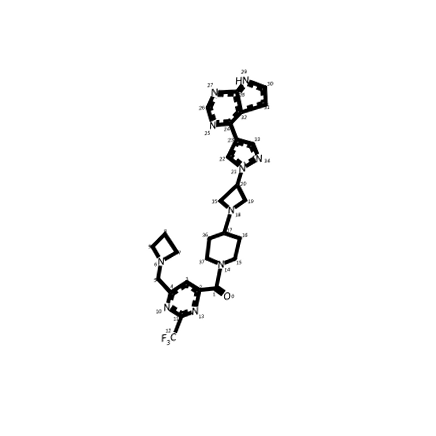 O=C(c1cc(CN2CCC2)nc(C(F)(F)F)n1)N1CCC(N2C[C](n3cc(-c4ncnc5[nH]ccc45)cn3)C2)CC1